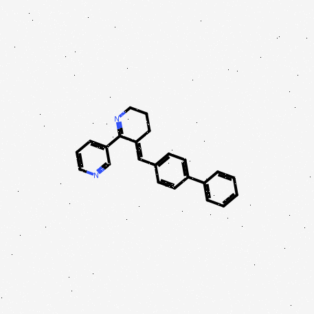 C(=C1/CCCN=C1c1cccnc1)/c1ccc(-c2ccccc2)cc1